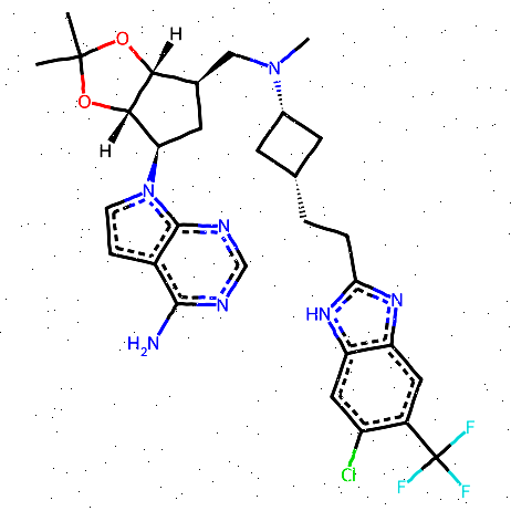 CN(C[C@H]1C[C@@H](n2ccc3c(N)ncnc32)[C@@H]2OC(C)(C)O[C@H]12)[C@H]1C[C@@H](CCc2nc3cc(C(F)(F)F)c(Cl)cc3[nH]2)C1